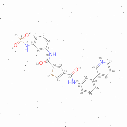 CS(=O)(=O)Nc1cccc(NC(=O)c2cc(C(=O)Nc3cccc(-c4cccnc4)c3)cs2)c1